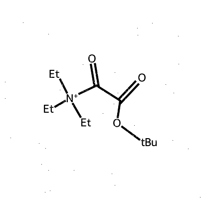 CC[N+](CC)(CC)C(=O)C(=O)OC(C)(C)C